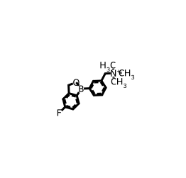 C[N+](C)(C)Cc1cccc(B2OCc3cc(F)ccc32)c1